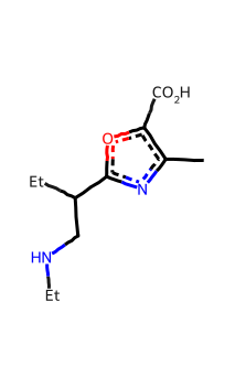 CCNCC(CC)c1nc(C)c(C(=O)O)o1